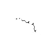 CC(C)(CCC(=O)OC(=O)CCCN=[N+]=[N-])[N+](=O)[O-]